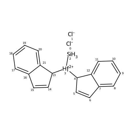 [Cl-].[Cl-].[SiH3][Hf+2]([CH]1C=Cc2ccccc21)[CH]1C=Cc2ccccc21